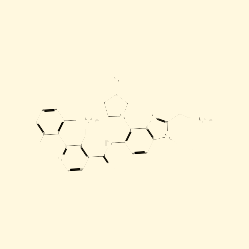 COCc1nc2c(N3CC[C@H](N)C3)c(NC(=O)c3ccnc(-c4c(F)cccc4OC)c3F)ccc2n1C